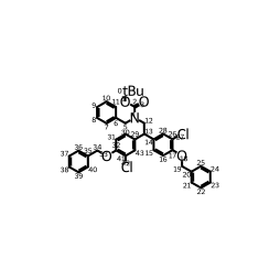 CC(C)(C)OC(=O)N(Cc1ccccc1)CC(c1ccc(OCc2ccccc2)c(Cl)c1)c1ccc(OCc2ccccc2)c(Cl)c1